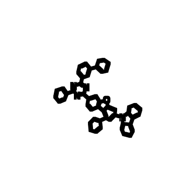 c1ccc(-c2cccc(-c3nc(-c4ccccc4)nc(-c4ccc5c(c4)oc4cc(-n6c7ccccc7c7ccccc76)cc(-c6ccccc6)c45)n3)c2)cc1